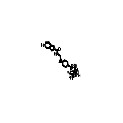 [2H]C([2H])([2H])C(OC(=O)N1CCC2(CC1)CC2CNC(=O)N1C=C2C=CNC=C2C1)(C([2H])([2H])[2H])C([2H])([2H])[2H]